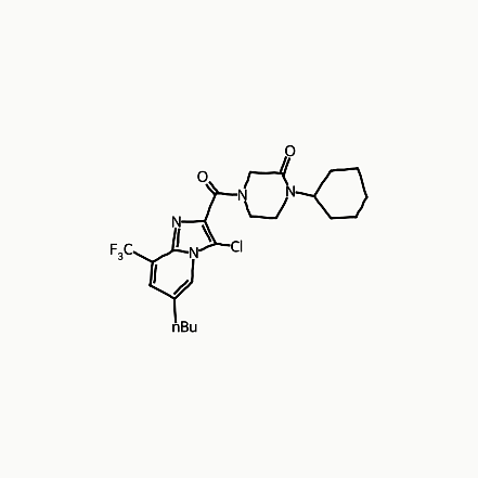 CCCCc1cc(C(F)(F)F)c2nc(C(=O)N3CCN(C4CCCCC4)C(=O)C3)c(Cl)n2c1